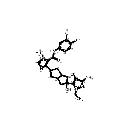 CCn1nc(N)c(Cl)c1C1(O)CC2CC(c3ncn(C)c3C(=O)Nc3ccc(F)c(Cl)c3)CC2C1